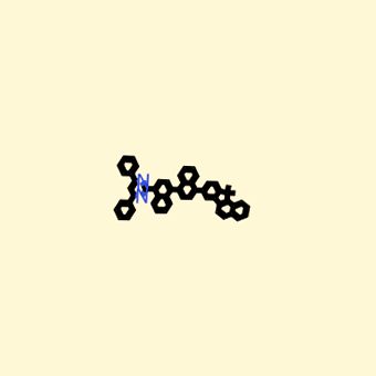 CC1(C)c2ccc(-c3ccc(-c4ccc(-c5nc(-c6ccccc6)cc(-c6ccccc6)n5)c5ccccc45)c4ccccc34)cc2-c2ccc3ccccc3c21